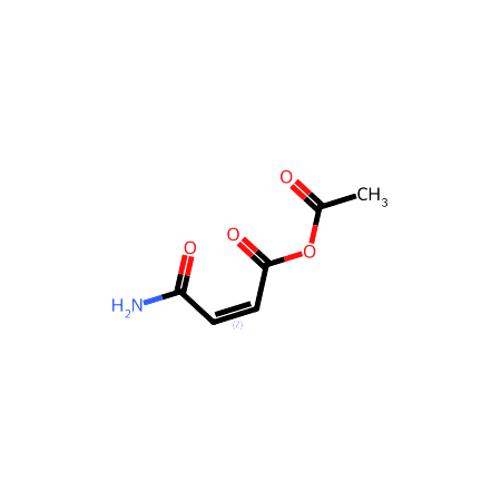 CC(=O)OC(=O)/C=C\C(N)=O